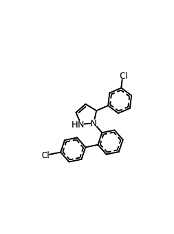 Clc1ccc(-c2ccccc2N2NC=CC2c2cccc(Cl)c2)cc1